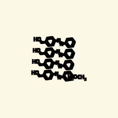 CC.OCc1ccc(N=Nc2ccccc2)cc1.OCc1ccc(N=Nc2ccccc2)cc1.OCc1ccc(N=Nc2ccccc2)cc1.OCc1ccc(N=Nc2ccccc2)cc1